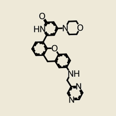 O=c1cc(N2CCOCC2)cc(-c2cccc3c2Oc2ccc(NCc4cnccn4)cc2C3)[nH]1